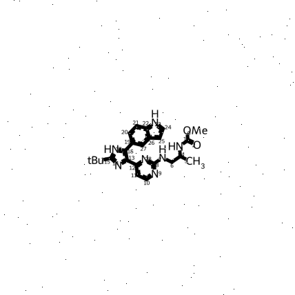 COC(=O)NC(C)CNc1nccc(-c2nc(C(C)(C)C)[nH]c2-c2ccc3[nH]ccc3c2)n1